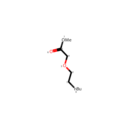 CCCCCCOCC(=O)OC